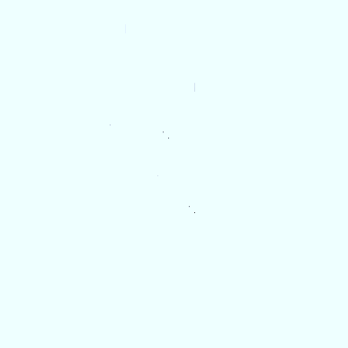 Cc1cc(I)ccc1Nc1c(C(=O)NOCC(O)CC(C)C)ccc(F)c1F